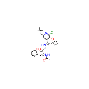 CC(=O)N[C@@H](Cc1ccccc1)[C@H](O)CN[C@H]1CC2(CCC2)Oc2c1cc(CC(C)(C)C)nc2Cl